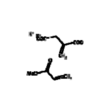 C=C(CC(=O)[O-])C(=O)[O-].C=CC(=O)OC.[K+].[K+]